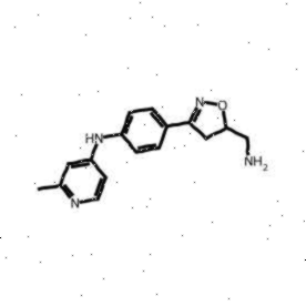 Cc1cc(Nc2ccc(C3=NOC(CN)C3)cc2)ccn1